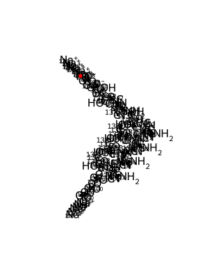 N[13c]1n[13cH]n[13c]2[13c]1n[13cH]n2[13C@H]1[13CH2][13C@H](O)[13C@@H]([13CH2]O)O1.N[13c]1n[13cH]n[13c]2[13c]1n[13cH]n2[13C@H]1[13CH2][13C@H](O)[13C@@H]([13CH2]O)O1.N[13c]1n[13cH]n[13c]2[13c]1n[13cH]n2[13C@H]1[13CH2][13C@H](O)[13C@@H]([13CH2]O)O1.N[13c]1n[13cH]n[13c]2[13c]1n[13cH]n2[13C@H]1[13CH2][13C@H](O)[13C@@H]([13CH2]O)O1.N[13c]1n[13cH]n[13c]2[13c]1n[13cH]n2[13C@H]1[13CH2][13C@H](O)[13C@@H]([13CH2]O)O1.O=P([O-])([O-])[O-].O=P([O-])([O-])[O-].O=P([O-])([O-])[O-].O=P([O-])([O-])[O-].O=P([O-])([O-])[O-].[Na+].[Na+].[Na+].[Na+].[Na+].[Na+].[Na+].[Na+].[Na+].[Na+].[Na+].[Na+].[Na+].[Na+].[Na+]